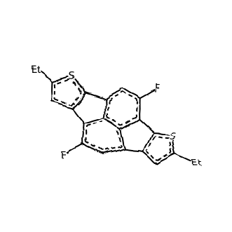 CCc1cc2c(s1)-c1cc(F)c3c4c(cc(F)c-2c14)-c1cc(CC)sc1-3